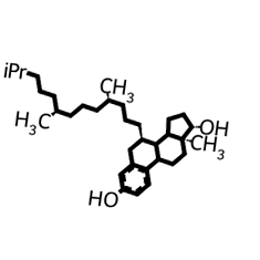 CC(C)CCC[C@H](C)CCC[C@H](C)CCC[C@@H]1Cc2cc(O)ccc2C2CC[C@@]3(C)C(CC[C@@H]3O)C21